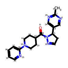 Cc1ncc(C2CC=NN2C(=O)C2CCN(c3ccccn3)CC2)cn1